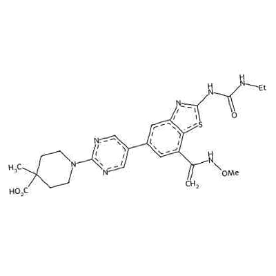 C=C(NOC)c1cc(-c2cnc(N3CCC(C)(C(=O)O)CC3)nc2)cc2nc(NC(=O)NCC)sc12